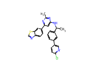 Cc1nc(NC(C)c2cccc(-c3ccc(Cl)nc3)c2)cc(-c2ccc3ncsc3c2)n1